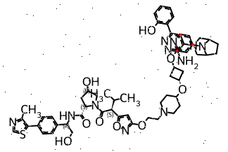 Cc1ncsc1-c1ccc([C@H](CO)NC(=O)[C@@H]2C[C@@H](O)CN2C(=O)[C@H](c2cc(OCCN3CCC(O[C@H]4C[C@H](Oc5cc(N6C7CCC6CN(c6cc(-c8ccccc8O)nnc6N)C7)ccn5)C4)CC3)no2)C(C)C)cc1